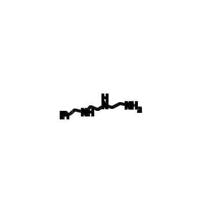 [CH2]C(C)CNCCNCCN